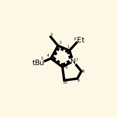 CCc1c(C)c(C(C)(C)C)c2n1CCC2